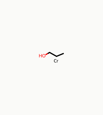 CCCO.[Cr]